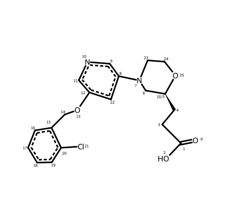 O=C(O)CC[C@H]1CN(c2cncc(OCc3ccccc3Cl)c2)CCO1